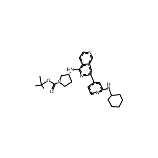 CC(C)(C)OC(=O)N1CC[C@@H](Nc2nc(-c3ccnc(NC4CCCCC4)c3)cc3cnccc23)C1